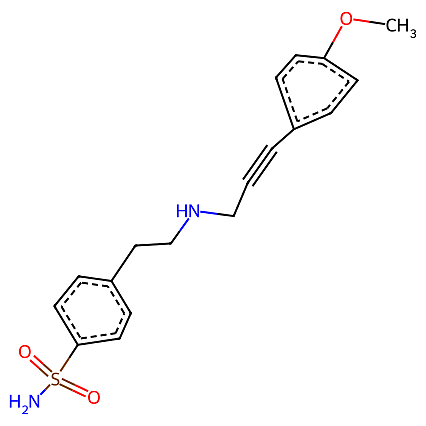 COc1ccc(C#CCNCCc2ccc(S(N)(=O)=O)cc2)cc1